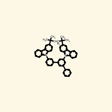 CC(C)(C)c1ccc2c(c1)c1ccccc1n2-c1cccc(-c2cc(-c3ccccc3)cc(-n3c4ccccc4c4cc(C(C)(C)C)ccc43)c2)c1